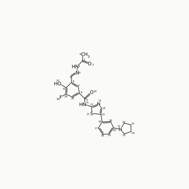 CC(=O)NN=Cc1cc(C(=O)Nc2ncc(-c3cccc(N4CCCC4)c3)s2)cc(F)c1O